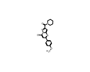 COc1ccc(-c2cc(Cl)n3nc(C(=O)N4CCCCC4)cc3n2)cc1